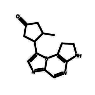 CC1CC(=O)CC1c1cnc2cnc3c(n12)CCN3